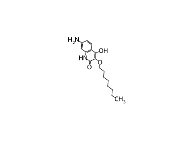 CCCCCCCCOc1c(O)c2ccc(N)cc2[nH]c1=O